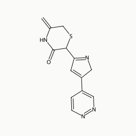 C=C1CSC(C2=NCC(c3ccnnc3)=C2)C(=O)N1